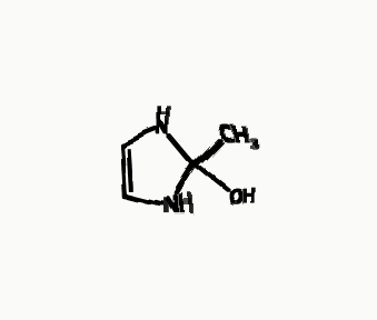 CC1(O)NC=CN1